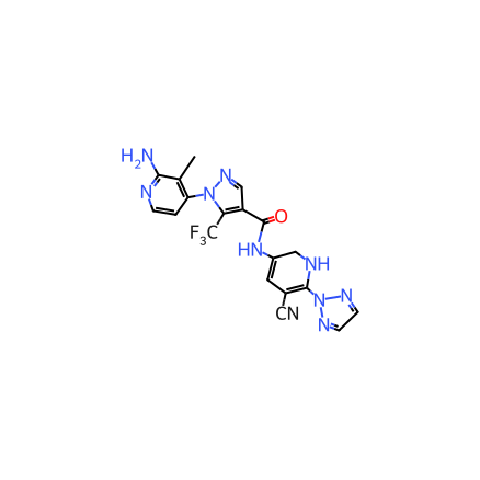 Cc1c(-n2ncc(C(=O)NC3=CC(C#N)=C(n4nccn4)NC3)c2C(F)(F)F)ccnc1N